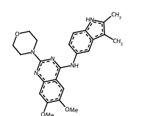 COc1cc2nc(N3CCOCC3)nc(Nc3ccc4[nH]c(C)c(C)c4c3)c2cc1OC